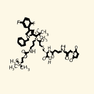 CC(C)(C)[C@H](c1cc(-c2cc(F)ccc2F)cn1Cc1ccccc1)N(CCCNC(=O)OCC[Si](C)(C)C)C(=O)CSC[C@H](NC(=O)CCNC(=O)CN1C(=O)C=CC1=O)C(=O)O